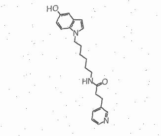 O=C(CCc1cccnc1)NCCCCCCn1ccc2cc(O)ccc21